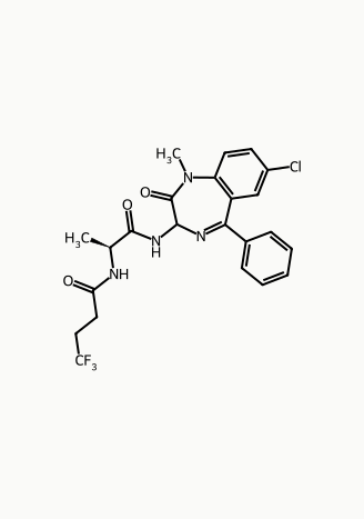 C[C@H](NC(=O)CCC(F)(F)F)C(=O)NC1N=C(c2ccccc2)c2cc(Cl)ccc2N(C)C1=O